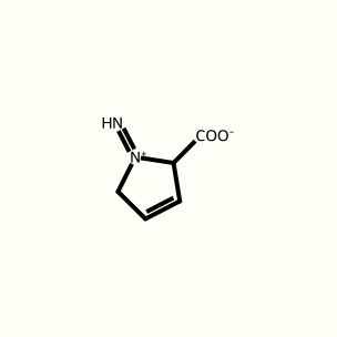 N=[N+]1CC=CC1C(=O)[O-]